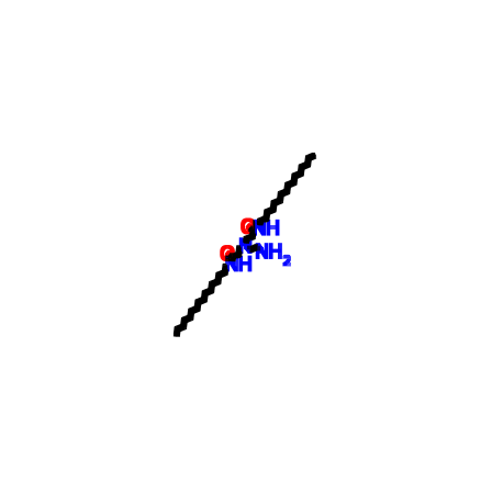 CCCCCCCCCCCCCCCCNC(=O)CCN(CCN)CCC(=O)NCCCCCCCCCCCCCCCC